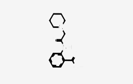 O=C(CN1CCCCC1)Nc1ccccc1C(=O)O